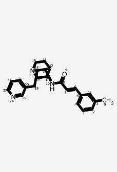 Cc1cccc(/C=C/C(=O)NC2C3CCN(CC3)C2Cc2cccnc2)c1